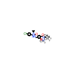 COc1cc(Cn2nc(-c3ccc(Cl)cc3)n(C3CC3)c2=O)ccc1C(=O)NC(C)(C)C